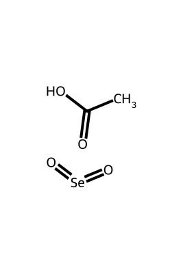 CC(=O)O.O=[Se]=O